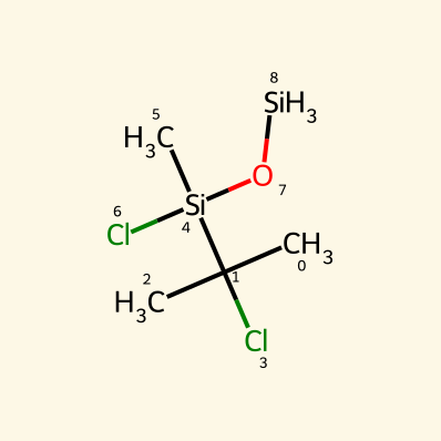 CC(C)(Cl)[Si](C)(Cl)O[SiH3]